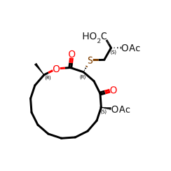 CC(=O)O[C@H]1CCCCCCCCC[C@@H](C)OC(=O)[C@H](SC[C@@H](OC(C)=O)C(=O)O)CC1=O